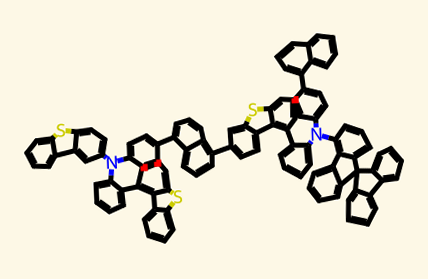 c1ccc(N(c2ccc(-c3cccc4c(-c5ccc6c(c5)sc5cccc(-c7ccccc7N(c7ccc(-c8cccc9ccccc89)cc7)c7cccc8c7-c7ccccc7C87c8ccccc8-c8ccccc87)c56)cccc34)cc2)c2ccc3sc4ccccc4c3c2)c(-c2cccc3sc4ccccc4c23)c1